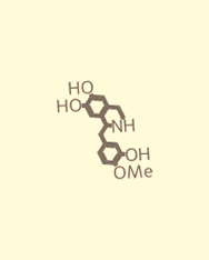 COc1ccc(CC2NCCc3cc(O)c(O)cc32)cc1O